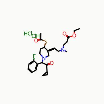 CCOC(=O)CCN(C)CC=C1CN(C(C(=O)C2CC2)c2ccccc2F)CCC1SC(C)=O.Cl.Cl